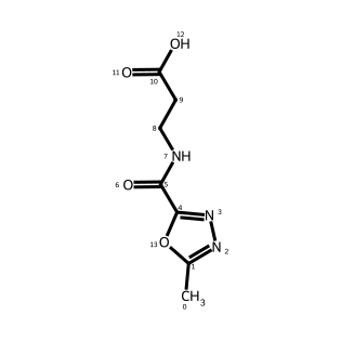 Cc1nnc(C(=O)NCCC(=O)O)o1